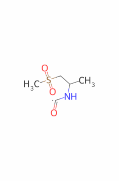 CC(CS(C)(=O)=O)N[C]=O